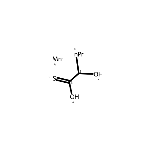 CCCC(O)C(O)=S.[Mn]